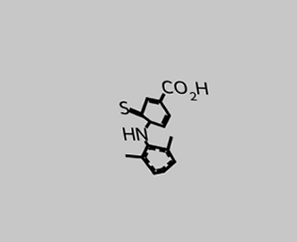 Cc1cccc(C)c1NC1C=CC(C(=O)O)=CC1=S